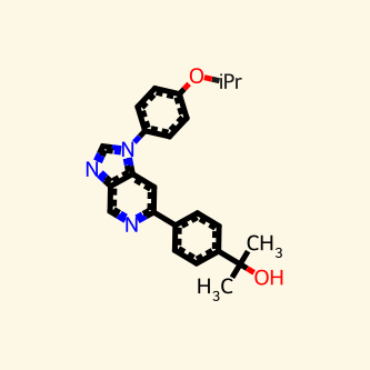 CC(C)Oc1ccc(-n2cnc3cnc(-c4ccc(C(C)(C)O)cc4)cc32)cc1